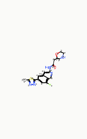 Cc1nnc(-c2cc(F)c3cnc(NC(=O)CC4CNCCO4)cc3c2)s1